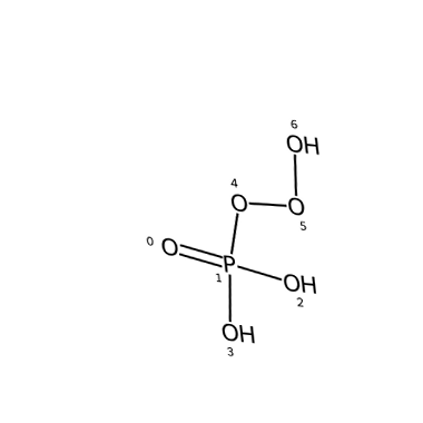 O=P(O)(O)OOO